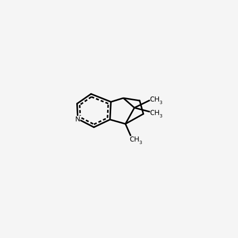 CC12CCC(c3ccncc31)C2(C)C